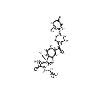 Cc1cnc(N2CCN(C(=O)c3ccc([C@@]4(C)NC(=O)N(CCO)C4=O)cc3)CC2)c(C)c1